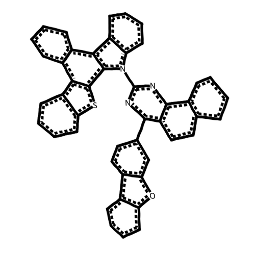 c1ccc2c(c1)ccc1c(-c3ccc4c(c3)oc3ccccc34)nc(-n3c4ccccc4c4c5ccccc5c5c6ccccc6sc5c43)nc12